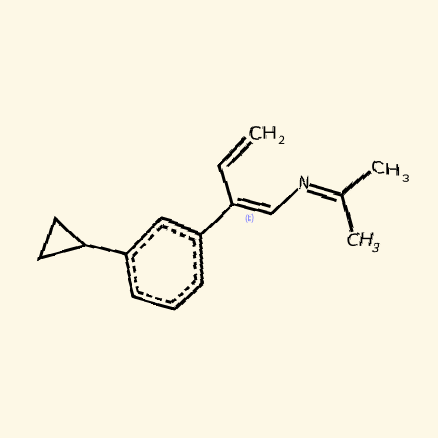 C=C/C(=C\N=C(C)C)c1cccc(C2CC2)c1